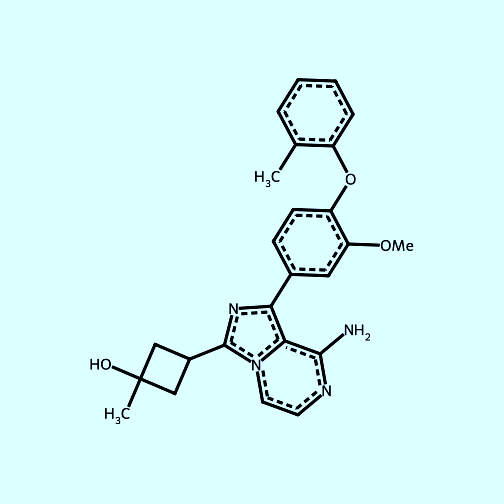 COc1cc(-c2nc(C3CC(C)(O)C3)n3ccnc(N)c23)ccc1Oc1ccccc1C